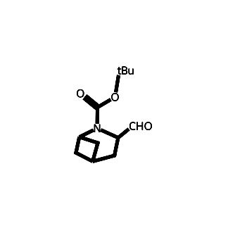 CC(C)(C)OC(=O)N1C(C=O)CC2CC1C2